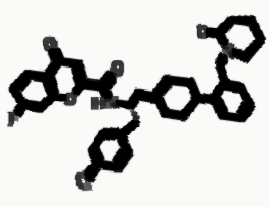 O=C(N[C@H](C=C1CCC(c2ccccc2CN2CCCCC2=O)CC1)Cc1ccc(Cl)cc1)c1cc(=O)c2ccc(F)cc2o1